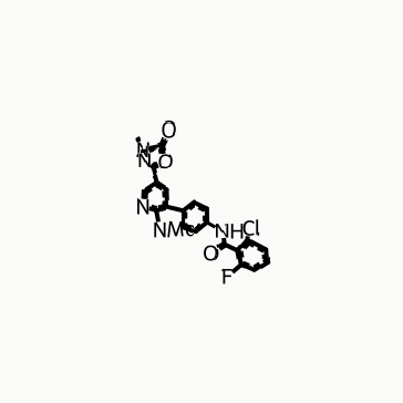 CNc1ncc(-c2nn(C)c(=O)o2)cc1-c1ccc(NC(=O)c2c(F)cccc2Cl)cc1